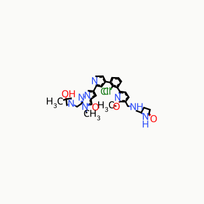 COc1nc(-c2cccc(-c3ccnc(-c4cc5c(=O)n(C)c(CN6CC(C)(O)C6)nn5c4)c3Cl)c2Cl)ccc1CNCC1CCC(=O)N1